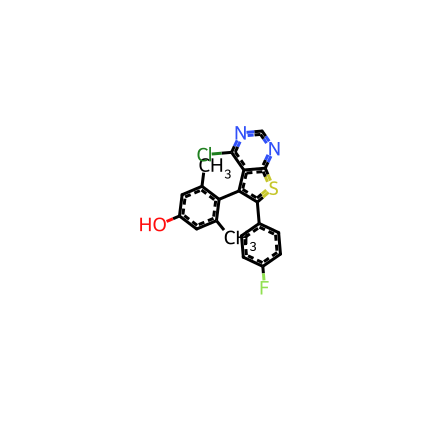 Cc1cc(O)cc(C)c1-c1c(-c2ccc(F)cc2)sc2ncnc(Cl)c12